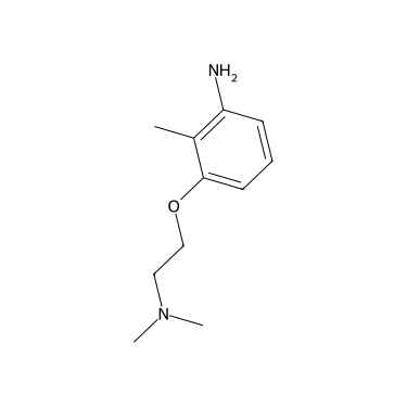 Cc1c(N)cccc1OCCN(C)C